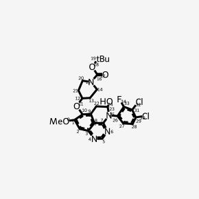 COc1cc2ncnc3c2c(c1OC1CCN(C(=O)OC(C)(C)C)CC1)CC(O)N3c1ccc(Cl)c(Cl)c1F